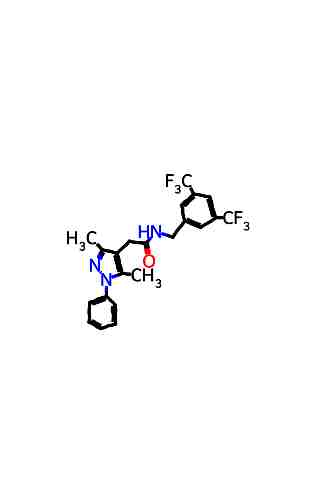 Cc1nn(-c2ccccc2)c(C)c1CC(=O)NCc1cc(C(F)(F)F)cc(C(F)(F)F)c1